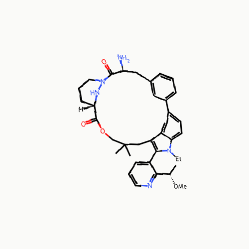 CCn1c(-c2cccnc2[C@H](C)OC)c2c3cc(ccc31)-c1cccc(c1)C[C@H](N)C(=O)N1CCC[C@H](N1)C(=O)OCC(C)(C)C2